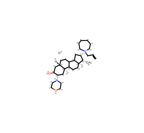 C=CC[N+]1([C@H]2CC3C4CC[C@H]5C[C@H](O)[C@@H](N6CCOCC6)C[C@]5(C)C4CC[C@]3(C)[C@H]2OC(C)=O)CCCCCC1.[Br-]